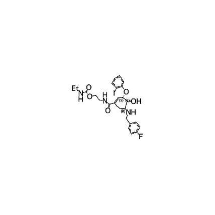 CCNC(=O)OCCNC(=O)C1=C[C@H](Oc2ccccc2I)[C@@H](O)[C@H](NCc2ccc(F)cc2)C1